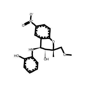 COC[C@@]1(C)Oc2ccc([N+](=O)[O-])cc2[C@H](Nc2ccccc2O)[C@H]1O